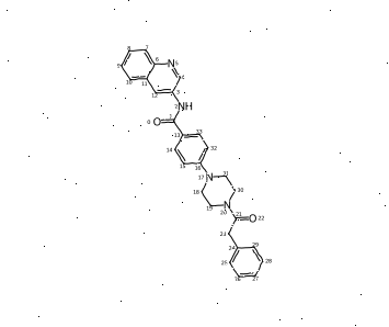 O=C(Nc1cnc2ccccc2c1)c1ccc(N2CCN(C(=O)Cc3ccccc3)CC2)cc1